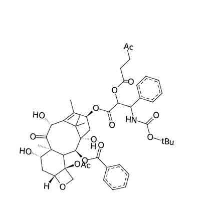 CC(=O)CCC(=O)OC(C(=O)O[C@H]1C[C@@]2(O)[C@@H](OC(=O)c3ccccc3)C3[C@](C)(C(=O)[C@H](O)C(=C1C)C2(C)C)[C@@H](O)C[C@H]1OC[C@@]31OC(C)=O)C(NC(=O)OC(C)(C)C)c1ccccc1